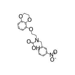 O=C(O)N(CCOc1cccc2c1OCCO2)Cc1cccc([N+](=O)[O-])c1